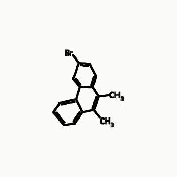 Cc1c(C)c2ccc(Br)cc2c2ccccc12